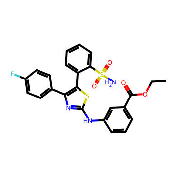 CCOC(=O)c1cccc(Nc2nc(-c3ccc(F)cc3)c(-c3ccccc3S(N)(=O)=O)s2)c1